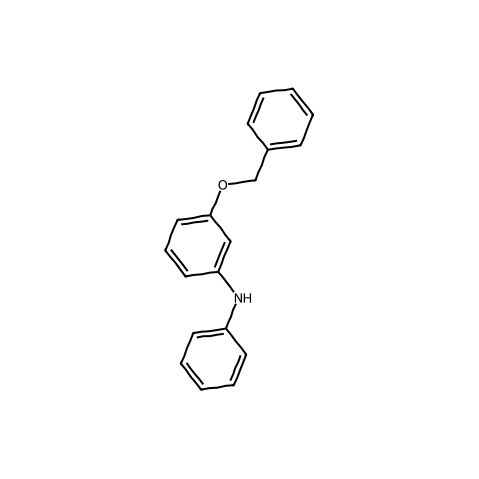 c1ccc(COc2cccc(Nc3ccccc3)c2)cc1